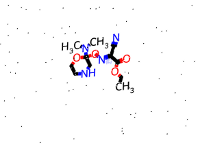 CCOC(=O)/C(C#N)=N/OC1(N(C)C)CNCCO1